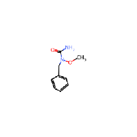 CON(Cc1ccccc1)C(N)=O